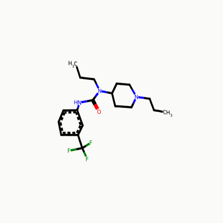 CCCN1CCC(N(CCC)C(=O)Nc2cccc(C(F)(F)F)c2)CC1